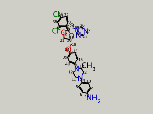 CC1CN(c2ccc(N)cc2)CCN1c1ccc(OC[C@@H]2CO[C@@](Cn3cncn3)(c3ccc(Cl)cc3Cl)O2)cc1